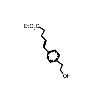 CCOC(=O)CCC=Cc1ccc(CCO)cc1